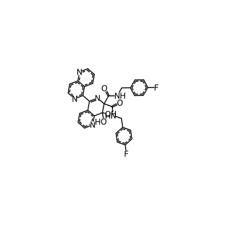 O=C(NCc1ccc(F)cc1)C1(C(=O)NCc2ccc(F)cc2)N=C(c2nccc3ncccc23)c2cccnc2C1(O)O